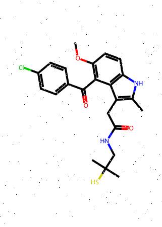 COc1ccc2[nH]c(C)c(CC(=O)NCC(C)(C)S)c2c1C(=O)c1ccc(Cl)cc1